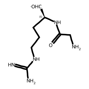 N=C(N)NCCC[C@@H]([C]=O)NC(=O)CN